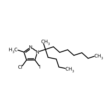 CCCCCCCC(C)(CCCC)n1nc(C)c(Cl)c1I